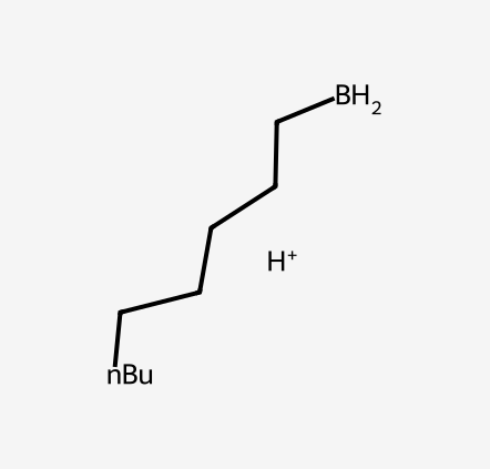 BCCCCCCCCC.[H+]